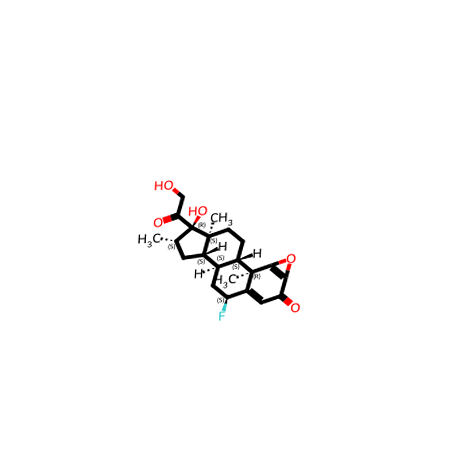 C[C@H]1C[C@H]2[C@@H]3C[C@H](F)C4=CC(=O)C5=C(O5)[C@]4(C)[C@H]3CC[C@]2(C)[C@@]1(O)C(=O)CO